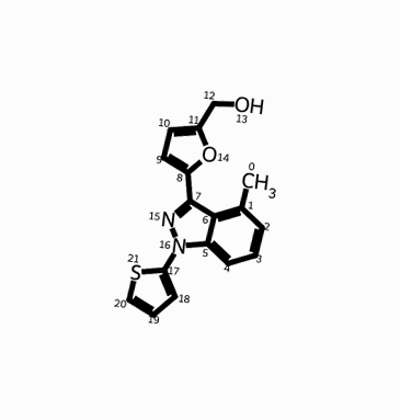 Cc1cccc2c1c(-c1ccc(CO)o1)nn2-c1cccs1